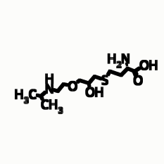 CC(C)NCCOCC(O)CSCC[C@H](N)C(=O)O